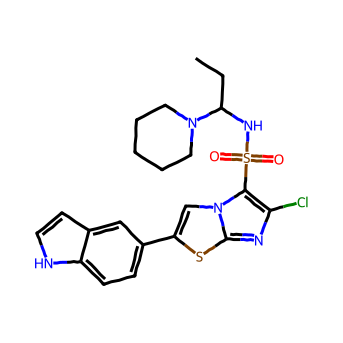 CCC(NS(=O)(=O)c1c(Cl)nc2sc(-c3ccc4[nH]ccc4c3)cn12)N1CCCCC1